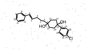 OC1(CCCC=Cc2ccccc2)CCC(O)(c2ccc(Cl)cc2)CC1